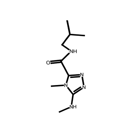 CNc1nnc(C(=O)NCC(C)C)n1C